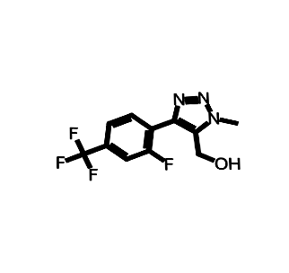 Cn1nnc(-c2ccc(C(F)(F)F)cc2F)c1CO